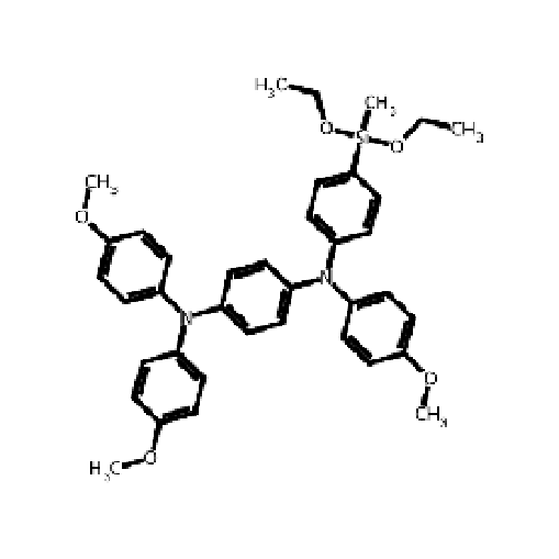 CCO[Si](C)(OCC)c1ccc(N(c2ccc(OC)cc2)c2ccc(N(c3ccc(OC)cc3)c3ccc(OC)cc3)cc2)cc1